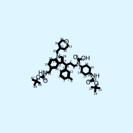 Cc1cccc(C(CCN(C(=O)O)C2CCC(NC(=O)OC(C)(C)C)CC2)c2cn(CC3CCOCC3)c3ccc(CNC(=O)OC(C)(C)C)cc23)c1